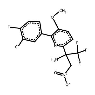 COc1ccc(C(N)(C[N+](=O)[O-])C(F)(F)F)nc1-c1ccc(F)c(Cl)c1